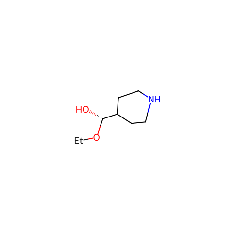 CCO[C@H](O)C1CCNCC1